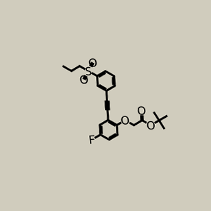 CCCS(=O)(=O)c1cccc(C#Cc2cc(F)ccc2OCC(=O)OC(C)(C)C)c1